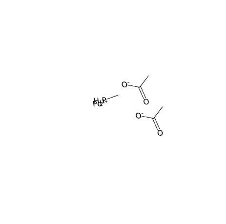 CC(=O)[O-].CC(=O)[O-].CP.[Pd+2]